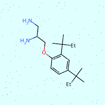 CCC(C)(C)c1ccc(OCC(N)CN)c(C(C)(C)CC)c1